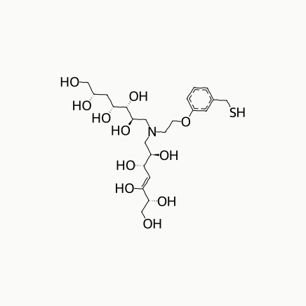 OC[C@@H](O)C[C@@H](O)[C@H](O)[C@H](O)CN(CCOc1cccc(CS)c1)C[C@@H](O)[C@@H](O)C=C(O)[C@H](O)CO